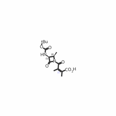 C/C(C(=O)O)=C(\C)C(=O)N1C(=O)[C@@H](NC(=O)OC(C)(C)C)[C@H]1C